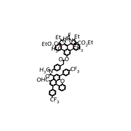 CCOC(=O)C1=C(C)/C(=C(\c2c(-c3ccccc3)cc(OC(=O)Cc3ccc(N(C)C(=O)c4cc(-c5ccc(C(F)(F)F)cc5)c5c6c(c(-c7ccc(C(F)(F)F)cc7)cc(C=O)c46)-c4ccccc4O5)cc3)cc2-c2ccccc2)c2c(C)c(C(=O)OCC)c(CC)n2BF)N=C1CC